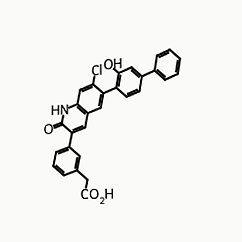 O=C(O)Cc1cccc(-c2cc3cc(-c4ccc(-c5ccccc5)cc4O)c(Cl)cc3[nH]c2=O)c1